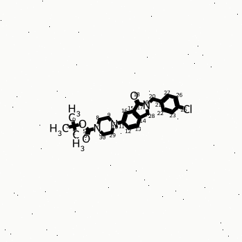 CC(C)(C)OC(=O)N1CCN(c2ccc3c(c2)C(=O)N(Cc2ccc(Cl)cc2)C3)CC1